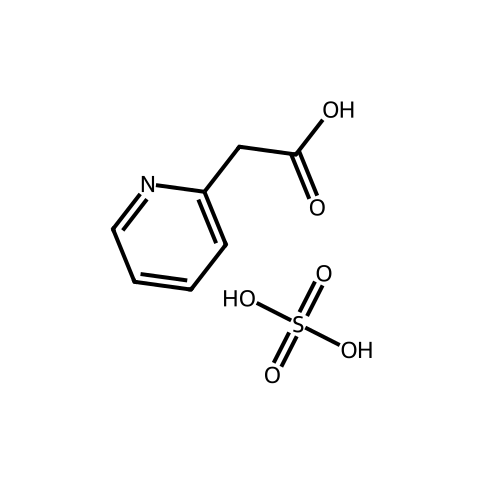 O=C(O)Cc1ccccn1.O=S(=O)(O)O